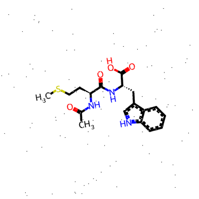 CSCC[C@H](NC(C)=O)C(=O)N[C@@H](Cc1c[nH]c2ccccc12)C(=O)O